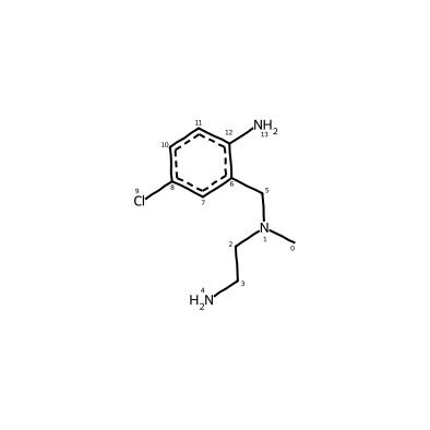 CN(CCN)Cc1cc(Cl)ccc1N